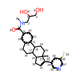 CN(CC(O)CO)C(=O)c1ccc2c(c1)CCC1C2CCC2(C)C(c3cncc(F)c3)=CCC12